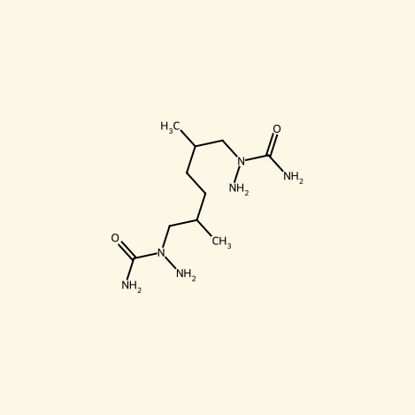 CC(CCC(C)CN(N)C(N)=O)CN(N)C(N)=O